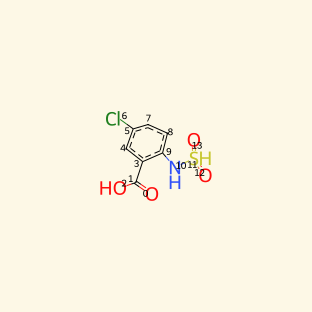 O=C(O)c1cc(Cl)ccc1N[SH](=O)=O